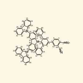 N#Cc1ccc(-c2cc(-c3ccccc3)c(-n3c4ccc(-n5c6ccccc6c6ccccc65)cc4c4cc(-n5c6ccccc6c6ccccc65)ccc43)c(-c3ccccc3)c2)cc1C#N